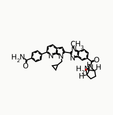 Cn1c(-c2cc3ccc(-c4ccc(C(N)=O)cc4)nc3n2CC2CC2)nc2cc(C(=O)N3C[C@H]4CC[C@@H]3[C@@H]4N)ccc21